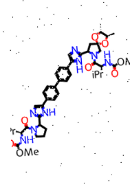 COC(=O)N[C@H](C(=O)N1CCCC1c1ncc(-c2ccc(-c3ccc(-c4cnc(C5CC6(CN5C(=O)[C@@H](NC(=O)OC)C(C)C)O[C@H](C)[C@@H](C)O6)[nH]4)cc3)cc2)[nH]1)C(C)C